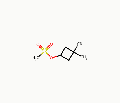 CC1(C#N)CC(OS(C)(=O)=O)C1